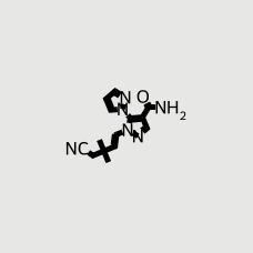 CC(C)(/C=C/n1ncc(C(N)=O)c1-n1cccn1)CC#N